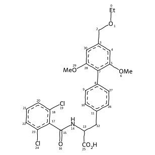 CCOCc1cc(OC)c(-c2ccc(CC(NC(=O)c3c(Cl)cccc3Cl)C(=O)O)cc2)c(OC)c1